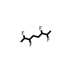 [CH2]C(F)C(F)CCC(F)C(C)F